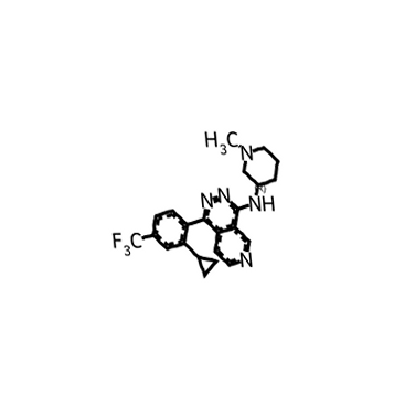 CN1CCC[C@@H](Nc2nnc(-c3ccc(C(F)(F)F)cc3C3CC3)c3ccncc23)C1